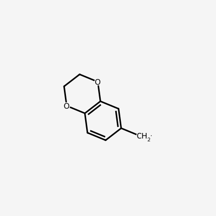 [CH2]c1ccc2c(c1)OCCO2